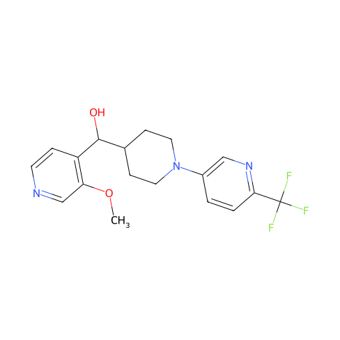 COc1cnccc1C(O)C1CCN(c2ccc(C(F)(F)F)nc2)CC1